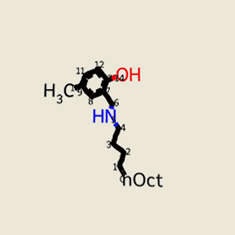 CCCCCCCCCCCCNCc1cc(C)ccc1O